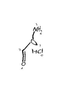 Cl.NOC=O